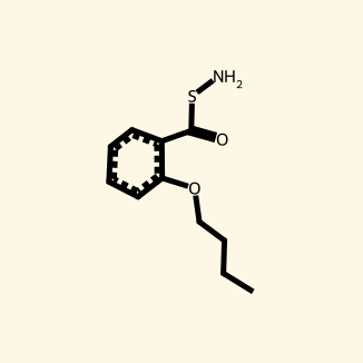 CCCCOc1ccccc1C(=O)SN